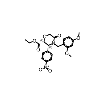 CCOC(=O)[C@@H]1OCC(=O)N(Cc2ccc(OC)cc2OC)[C@@H]1c1ccc([N+](=O)[O-])cc1